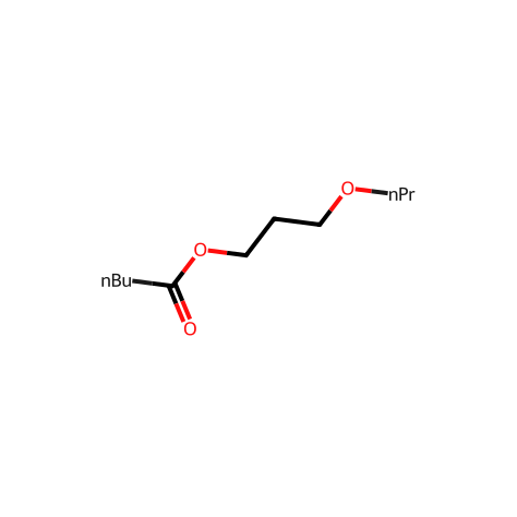 CCCCC(=O)OCCCOCCC